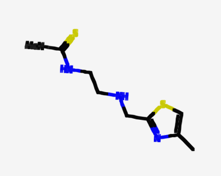 CNC(=S)NCCNCc1nc(C)cs1